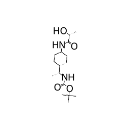 C[C@@H](O)C(=O)N[C@H]1CC[C@H]([C@@H](C)NC(=O)OC(C)(C)C)CC1